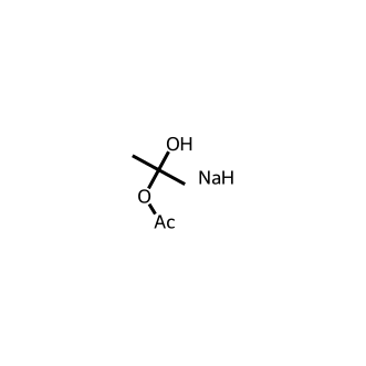 CC(=O)OC(C)(C)O.[NaH]